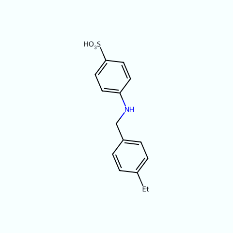 CCc1ccc(CNc2ccc(S(=O)(=O)O)cc2)cc1